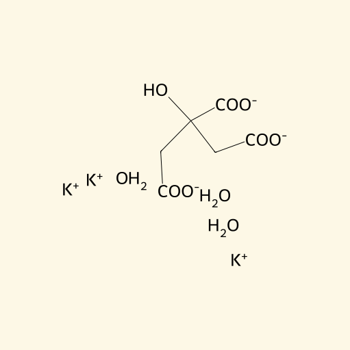 O.O.O.O=C([O-])CC(O)(CC(=O)[O-])C(=O)[O-].[K+].[K+].[K+]